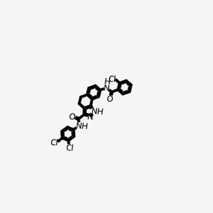 O=C(Nc1ccc2c(c1)-c1[nH]nc(C(=O)Nc3ccc(Cl)c(Cl)c3)c1CC2)c1ccccc1Cl